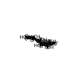 CC1=NN(c2ccc(S(=O)(=O)O)cc2)C(=O)C1/N=N/c1ccc(/N=N/c2c(S(=O)(=O)O)cc3cc(S(=O)(=O)O)c(/N=N/c4ccc([N+](=O)[O-])cc4S(=O)(=O)O)c(O)c3c2O)c(S(=O)(=O)O)c1